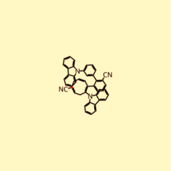 N#C/C1=C/C/C(n2c3ccccc3c3ccccc32)=C(c2cccc(C#N)c2-c2cccc(-n3c4ccccc4c4ccccc43)c2)\C=C/C1